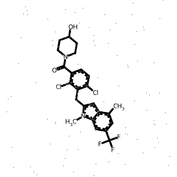 Cc1cc(C(F)(F)F)cc2c1cc(Cc1c(Cl)ccc(C(=O)N3CCC(O)CC3)c1Cl)n2C